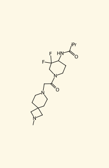 CC(C)C(=O)NC1CCN(C(=O)CN2CCC3(CC2)CN(C)C3)CC1(F)F